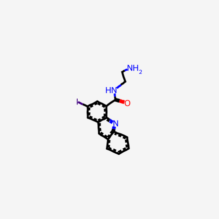 NCCNC(=O)c1cc(I)cc2cc3ccccc3nc12